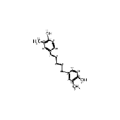 Cc1cc(CCCCCc2ccc(O)c(C)c2)ccc1O